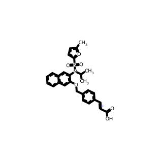 Cc1ccc(S(=O)(=O)N(c2cc3ccccc3cc2OCc2ccc(/C=C/C(=O)O)cc2)C(C)C)o1